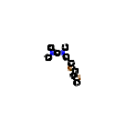 c1ccc(N(c2ccc(-c3ccc4c(c3)sc3c4ccc4c3ccc3c5ccccc5sc34)cc2)c2ccc3c(c2)c2ccccc2n3-c2ccccc2)cc1